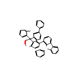 c1ccc(-c2cccc3c2Oc2ccccc2C32c3ccccc3Oc3ccc(-c4cccc5c6ccccc6n(-c6ccccc6)c45)cc32)cc1